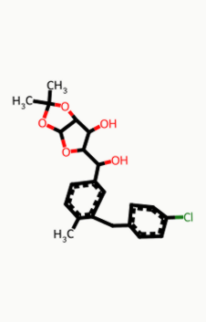 Cc1ccc(C(O)C2OC3OC(C)(C)OC3C2O)cc1Cc1ccc(Cl)cc1